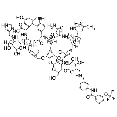 CN[C@H](CC(C)C)C(=O)N[C@H]1C(=O)N[C@@H](CC(N)=O)C(=O)N[C@H]2C(=O)N[C@H]3C(=O)N[C@H](C(=O)N[C@@H](C(=O)O)c4cc(O)cc(O)c4-c4cc3ccc4O)[C@H](OC3C[C@](C)(NCc4c[nH]cn4)[C@@H](O)[C@H](C)O3)c3ccc(c(Cl)c3)Oc3cc2cc(c3O[C@@H]2O[C@H](CO)[C@@H](O[C@@H]3O[C@H](CNCc4cccc(NC(=O)c5cccc(OC(F)(F)F)c5)c4)[C@H](O)[C@H](O)[C@H]3O)[C@H](O)[C@H]2O)Oc2ccc(cc2Cl)[C@H]1O